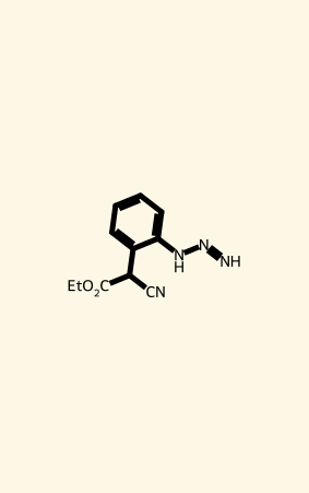 CCOC(=O)C(C#N)c1ccccc1NN=N